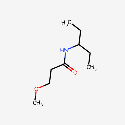 CCC(CC)NC(=O)CCOC